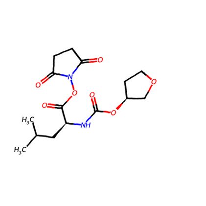 CC(C)C[C@H](NC(=O)O[C@H]1CCOC1)C(=O)ON1C(=O)CCC1=O